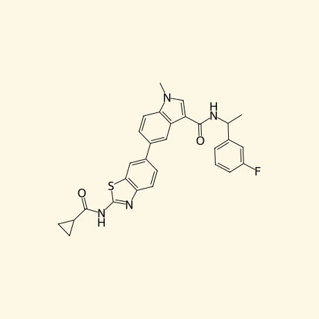 CC(NC(=O)c1cn(C)c2ccc(-c3ccc4nc(NC(=O)C5CC5)sc4c3)cc12)c1cccc(F)c1